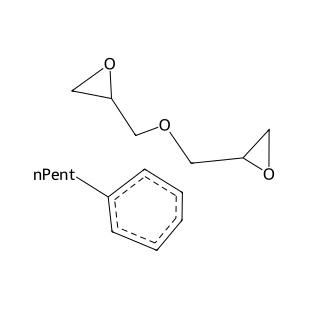 C(OCC1CO1)C1CO1.CCCCCc1ccccc1